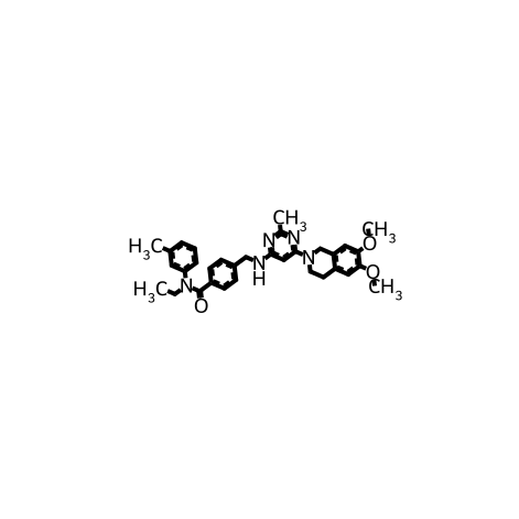 CCN(C(=O)c1ccc(CNc2cc(N3CCc4cc(OC)c(OC)cc4C3)nc(C)n2)cc1)c1cccc(C)c1